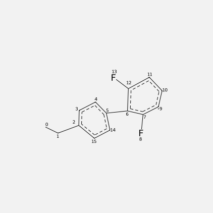 CCc1ccc(-c2c(F)[c]ccc2F)cc1